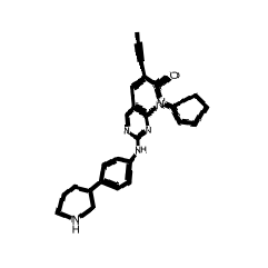 CC#Cc1cc2cnc(Nc3ccc(C4CCCNC4)cc3)nc2n(C2CCCC2)c1=O